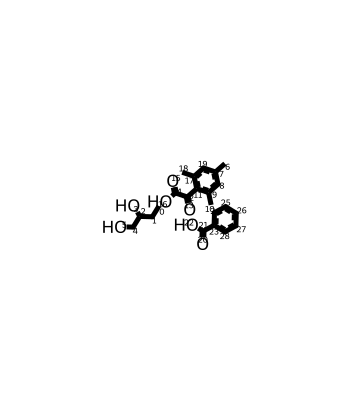 CCC(O)CO.Cc1cc(C)c(C(=O)C(=O)O)c(C)c1.O=C(O)c1ccccc1